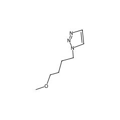 COCCCCn1ccnn1